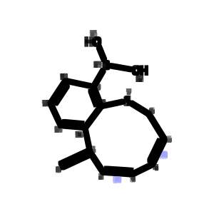 C=C1/C=C\C=C/CSc2c(B(O)O)cccc21